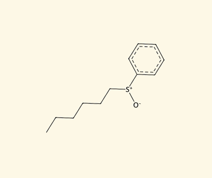 CCCCCC[S+]([O-])c1ccccc1